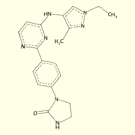 CCn1cc(Nc2ccnc(-c3ccc(N4CCNC4=O)cc3)n2)c(C)n1